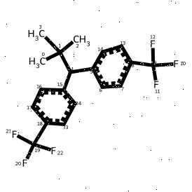 CC(C)(C)C(c1ccc(C(F)(F)F)cc1)c1ccc(C(F)(F)F)cc1